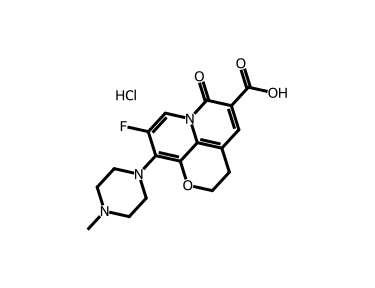 CN1CCN(c2c(F)cn3c(=O)c(C(=O)O)cc4c3c2OCC4)CC1.Cl